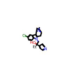 CCC(O)(Cn1c2c(c3cc(Cl)ccc31)C1CCC(C2)N1C)c1ccncc1